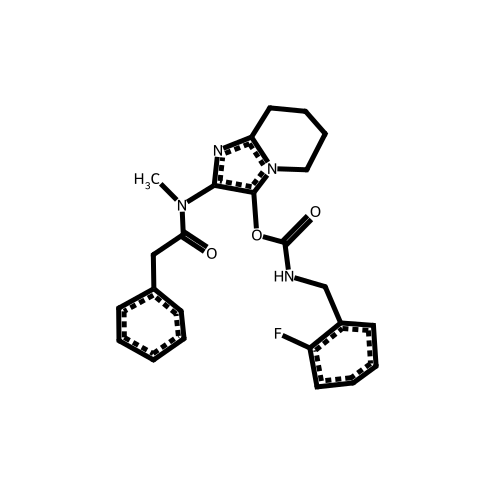 CN(C(=O)Cc1ccccc1)c1nc2n(c1OC(=O)NCc1ccccc1F)CCCC2